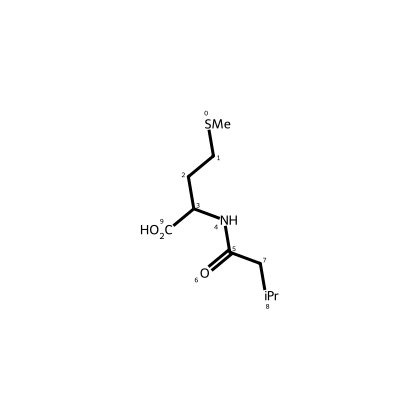 CSCCC(NC(=O)CC(C)C)C(=O)O